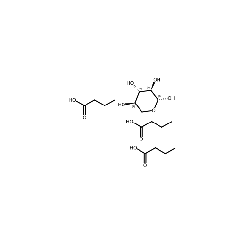 CCCC(=O)O.CCCC(=O)O.CCCC(=O)O.O[C@@H]1[C@@H](O)[C@H](O)OC[C@H]1O